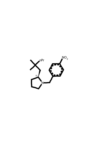 CCCC(C)(C)C[C@@H]1CCCN1Cc1ccc([N+](=O)[O-])cc1